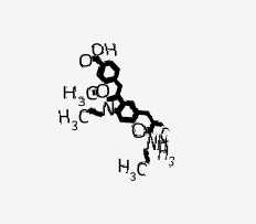 CCCNC(=O)C(CC)Cc1ccc2c(c1)c(Cc1ccc(C(=O)O)cc1OC)cn2CCC